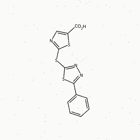 O=C(O)c1cnc(Sc2nnc(-c3ccccc3)s2)s1